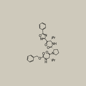 CC(C)[C@H](NC(=O)[C@@H]1CCCN1C(=O)[C@@H](NC(=O)OCc1ccccc1)C(C)C)C(=O)c1noc(-c2ccccc2)n1